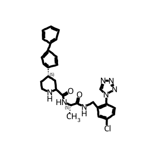 C[C@H](NC(=O)C1C[C@@H](c2ccc(-c3ccccc3)cc2)CCN1)C(=O)NCc1cc(Cl)ccc1-n1cnnn1